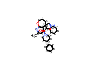 Cc1ccc2c(n1)OCCC[C@]21CNC[C@H]1C(=O)N1CC[C@@H](c2ccccc2)C[C@H]1C1CCCCC1